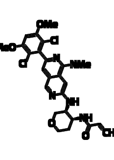 C=CC(=O)N[C@H]1CCOC[C@H]1Nc1cc2c(NC)nc(-c3c(Cl)c(OC)cc(OC)c3Cl)cc2cn1